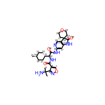 CC(C)(N)c1nocc1C(=O)N[C@H](C(=O)Nc1cc2c(cn1)C1(CCOCC1)C(=O)N2)[C@H]1CC[C@H](C)CC1